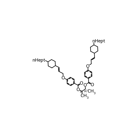 CCCCCCCC1CCC(C=CCOc2ccc(C(=O)O[C@H](C)[C@@H](C)OC(=O)c3ccc(OCC=CC4CCC(CCCCCCC)CC4)cc3)cc2)CC1